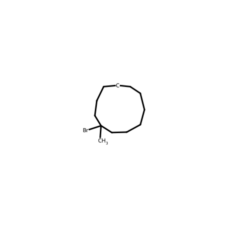 CC1(Br)CCCCCCCCCC1